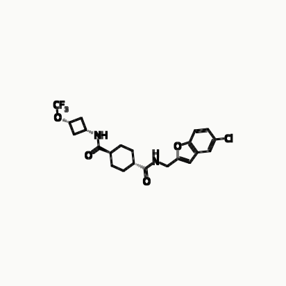 O=C(NCc1cc2cc(Cl)ccc2o1)[C@H]1CC[C@H](C(=O)N[C@H]2C[C@@H](OC(F)(F)F)C2)CC1